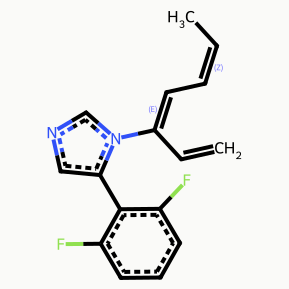 C=C/C(=C\C=C/C)n1cncc1-c1c(F)cccc1F